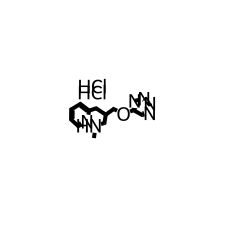 CNCC(COc1cnnnn1)Cc1ccccn1.Cl.Cl